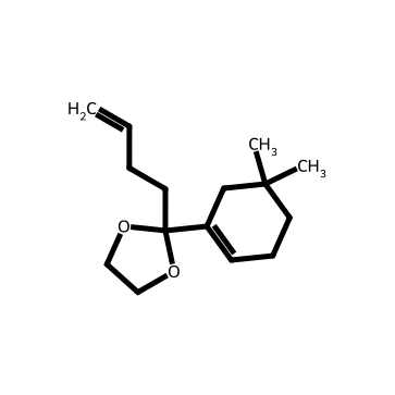 C=CCCC1(C2=CCCC(C)(C)C2)OCCO1